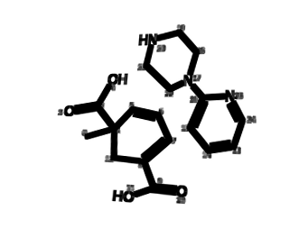 CC1(C(=O)O)C=CC=C(C(=O)O)C1.c1ccc(N2CCNCC2)nc1